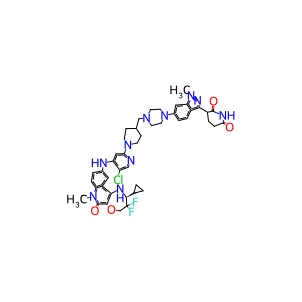 Cn1nc(C2CCC(=O)NC2=O)c2ccc(N3CCN(CC4CCN(c5cc(Nc6ccc7c(c6)c6c(c(=O)n7C)OCC(F)(F)[C@H](C7CC7)N6)c(Cl)cn5)CC4)CC3)cc21